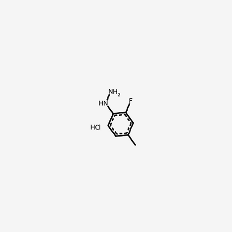 Cc1ccc(NN)c(F)c1.Cl